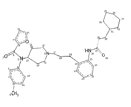 Cc1ccc(N(C(=O)c2ccco2)C2CCN(CCCc3ccccc3NC(=O)CCC3CCCCC3)CC2)cc1